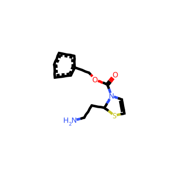 NCCC1SC=CN1C(=O)OCc1ccccc1